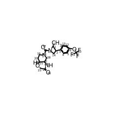 CC1C(c2ccc(OC(F)(F)F)cc2)CN1C(=O)N1CC[C@@H]2OCC(=O)NC2C1